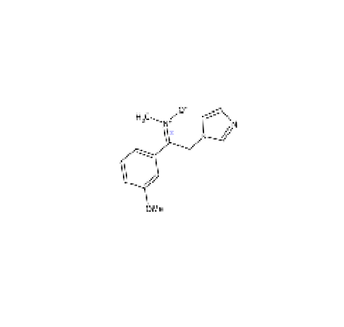 COc1cccc(/C(Cn2ccnc2)=[N+](\C)[O-])c1